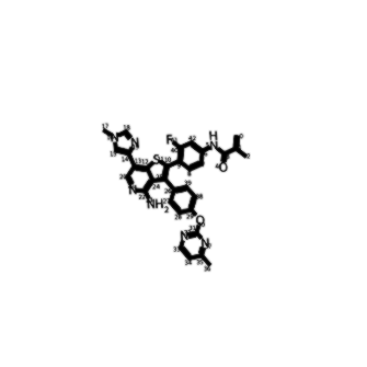 C=C(C)C(=O)Nc1ccc(-c2sc3c(-c4cn(C)cn4)cnc(N)c3c2-c2ccc(Oc3nccc(C)n3)cc2)c(F)c1